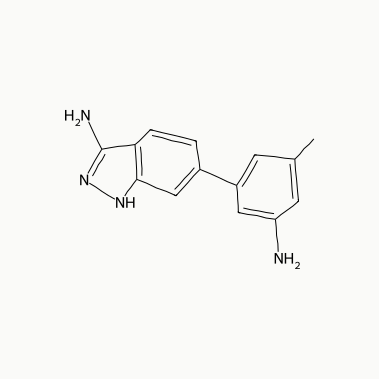 Cc1cc(N)cc(-c2ccc3c(N)n[nH]c3c2)c1